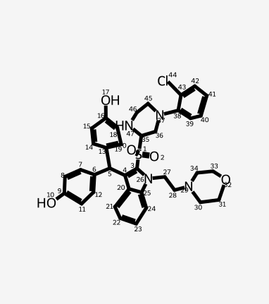 O=S(=O)(c1c(C(c2ccc(O)cc2)c2ccc(O)cc2)c2ccccc2n1CCN1CCOCC1)C1CN(c2ccccc2Cl)CCN1